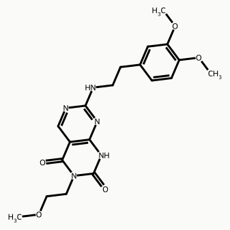 COCCn1c(=O)[nH]c2nc(NCCc3ccc(OC)c(OC)c3)ncc2c1=O